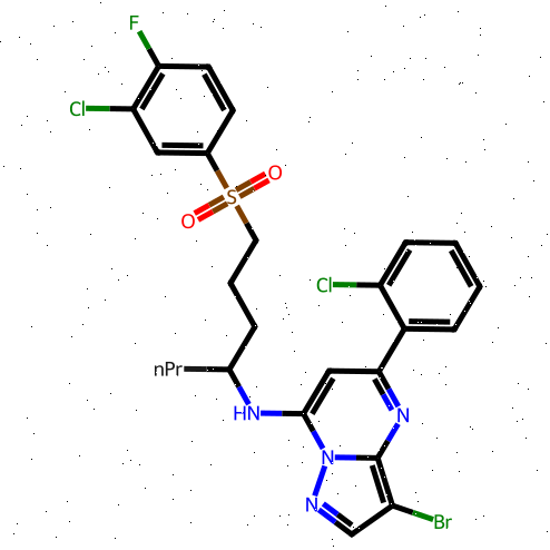 CCCC(CCCS(=O)(=O)c1ccc(F)c(Cl)c1)Nc1cc(-c2ccccc2Cl)nc2c(Br)cnn12